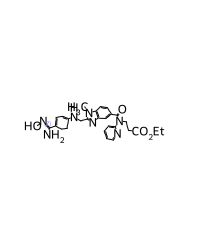 CCOC(=O)CCN(C(=O)c1ccc2c(c1)nc(CNC1=CC=C(/C(N)=N/O)CC1)n2C)c1ccccn1